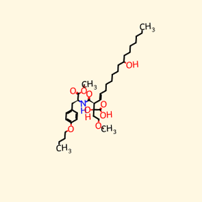 CCCCCCCC(O)CCCCCC/C=C/[C@H](C(=O)N[C@@H](Cc1ccc(OCCCC)cc1)C(=O)OC)[C@@](O)(CCOC)C(=O)O